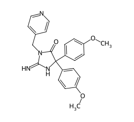 COc1ccc(C2(c3ccc(OC)cc3)NC(=N)N(Cc3ccncc3)C2=O)cc1